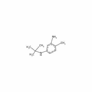 Cc1ccc(NC(C)(C)C)cc1N